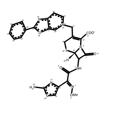 CON=C(C(=O)NC1C(=O)N2C(C(=O)[O-])=C(C[n+]3ccc4nc(-c5ccccc5)oc4c3)CS[C@@H]12)c1csc(N)n1